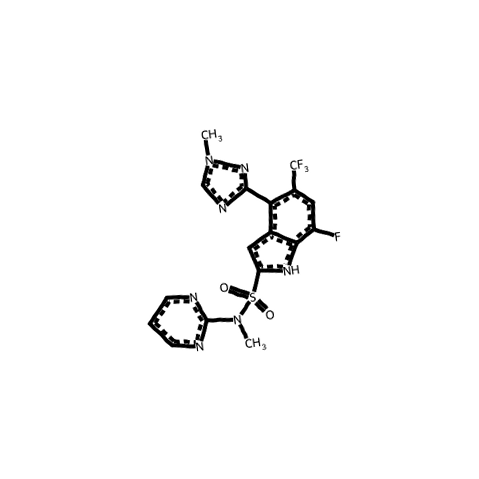 CN(c1ncccn1)S(=O)(=O)c1cc2c(-c3ncn(C)n3)c(C(F)(F)F)cc(F)c2[nH]1